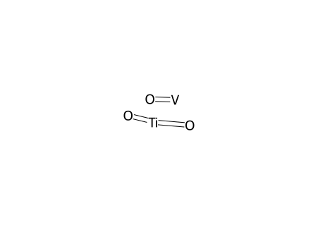 [O]=[Ti]=[O].[O]=[V]